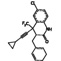 O=C1Nc2ccc(Cl)cc2C(C#CC2CC2)(C(F)(F)F)C1CC1=CCCC=C1